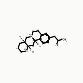 CC(C)Cc1ccc2c(c1)CCN1C[C@H]3CCCN[C@H]3C[C@@H]21